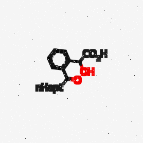 CCCCCCCC(=O)c1ccccc1C(O)C(=O)O